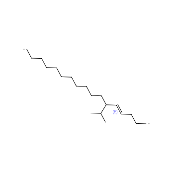 [CH2]CC/C=C/C(CCCCCCCCCC[CH2])C(C)C